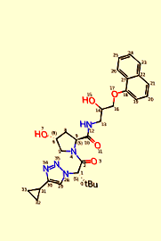 CC(C)(C)[C@@H](C(=O)N1C[C@H](O)C[C@H]1C(=O)NCC(O)COc1cccc2ccccc12)n1cc(C2CC2)nn1